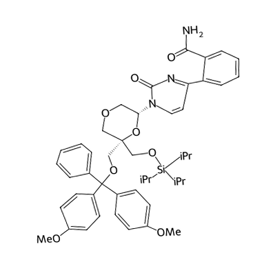 COc1ccc(C(OC[C@]2(CO[Si](C(C)C)(C(C)C)C(C)C)COC[C@H](n3ccc(-c4ccccc4C(N)=O)nc3=O)O2)(c2ccccc2)c2ccc(OC)cc2)cc1